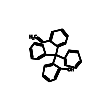 C=Cc1ccccc1C(c1ccccc1)(c1ccccc1)c1ccccc1O